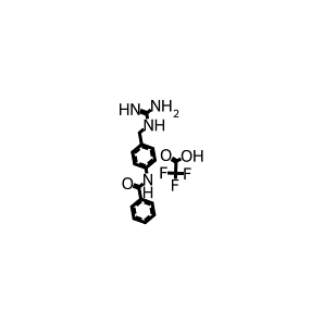 N=C(N)NCc1ccc(NC(=O)c2ccccc2)cc1.O=C(O)C(F)(F)F